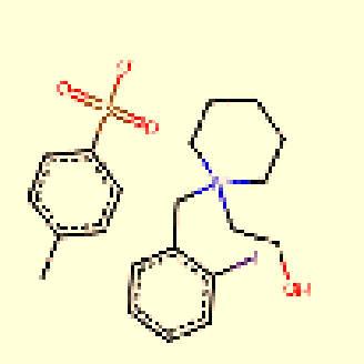 Cc1ccc(S(=O)(=O)[O-])cc1.OCC[N+]1(Cc2ccccc2I)CCCCC1